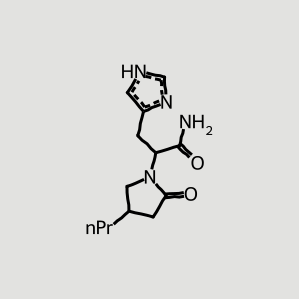 CCCC1CC(=O)N(C(Cc2c[nH]cn2)C(N)=O)C1